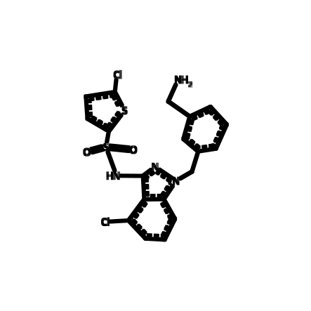 NCc1cccc(Cn2nc(NS(=O)(=O)c3ccc(Cl)s3)c3c(Cl)cccc32)c1